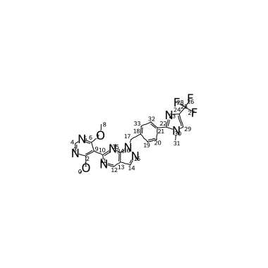 COc1ncnc(OC)c1-c1ncc2cnn(Cc3ccc(-c4nc(C(F)(F)F)cn4C)cc3)c2n1